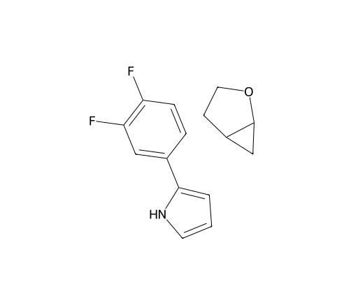 C1CC2CC2O1.Fc1ccc(-c2ccc[nH]2)cc1F